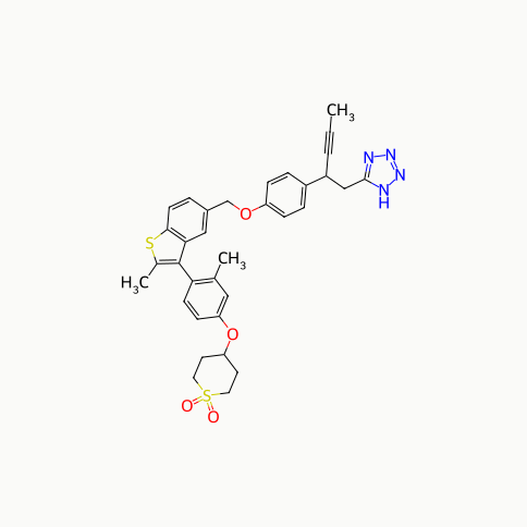 CC#CC(Cc1nnn[nH]1)c1ccc(OCc2ccc3sc(C)c(-c4ccc(OC5CCS(=O)(=O)CC5)cc4C)c3c2)cc1